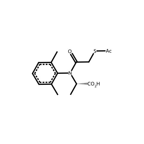 CC(=O)SCC(=O)N(c1c(C)cccc1C)[C@@H](C)C(=O)O